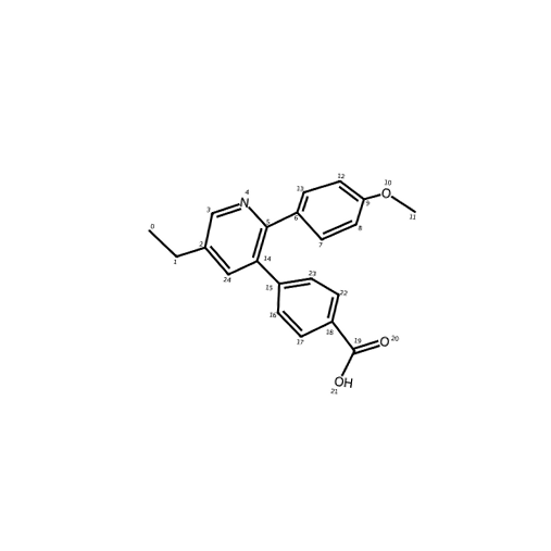 CCc1cnc(-c2ccc(OC)cc2)c(-c2ccc(C(=O)O)cc2)c1